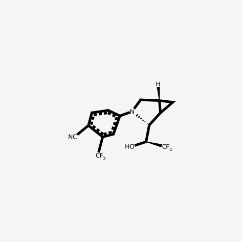 N#Cc1ccc(N2C[C@@H]3CC3[C@@H]2[C@H](O)C(F)(F)F)cc1C(F)(F)F